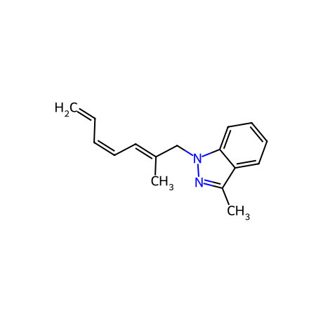 C=C/C=C\C=C(/C)Cn1nc(C)c2ccccc21